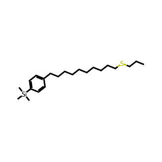 CCCSCCCCCCCCCCc1ccc([Si](C)(C)C)cc1